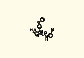 N#Cc1cccc(NC(=O)Cn2nc(-c3ccc(Oc4ccccc4)cc3)c3c(N)ncnc32)c1